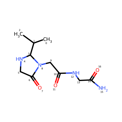 CC(C)C1NCC(=O)N1CC(=O)NCC(N)=O